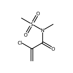 C=C(Cl)C(=O)N(C)S(C)(=O)=O